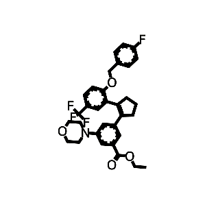 CCOC(=O)c1cc(C2=C(c3cc(C(F)(F)F)ccc3OCc3ccc(F)cc3)CCC2)cc(N2CCOCC2)c1